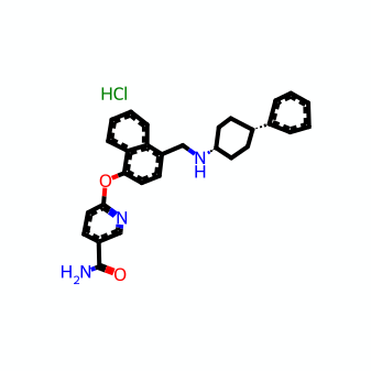 Cl.NC(=O)c1ccc(Oc2ccc(CN[C@H]3CC[C@@H](c4ccccc4)CC3)c3ccccc23)nc1